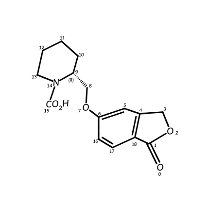 O=C1OCc2cc(OC[C@H]3CCCCN3C(=O)O)ccc21